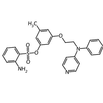 Cc1cc(OCCN(c2ccccc2)c2ccncc2)cc(OS(=O)(=O)c2ccccc2N)c1